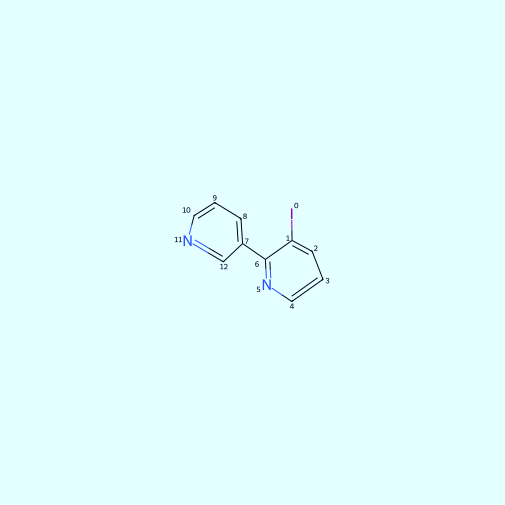 Ic1cccnc1-c1cccnc1